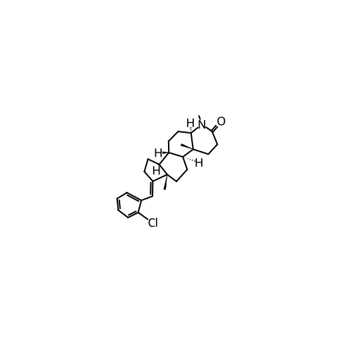 CN1C(=O)CC[C@]2(C)[C@H]3CC[C@]4(C)/C(=C/c5ccccc5Cl)CC[C@H]4[C@@H]3CC[C@@H]12